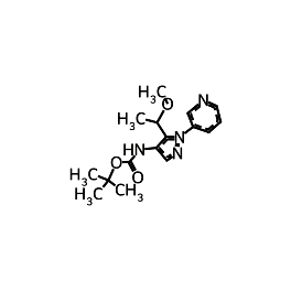 COC(C)c1c(NC(=O)OC(C)(C)C)cnn1-c1cccnc1